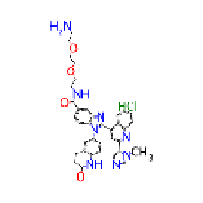 Cl.Cn1cncc1-c1cc(-c2nc3cc(C(=O)NCCOCCOCCN)ccc3n2-c2ccc3c(c2)CCC(=O)N3)c2ccccc2n1